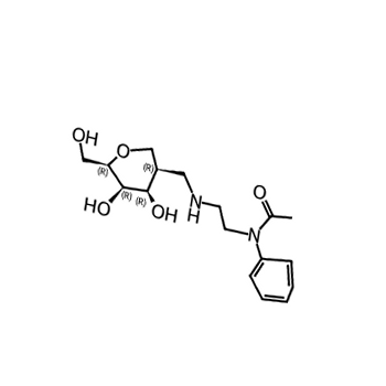 CC(=O)N(CCNC[C@@H]1CO[C@H](CO)[C@H](O)[C@@H]1O)c1ccccc1